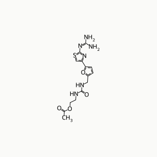 CC(=O)OCCNC(=O)NCc1ccc(-c2csc(N=C(N)N)n2)o1